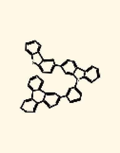 C1=c2c(c3ccc(-c4cccc(-n5c6ccccc6c6ccc(-c7ccc8sc9ccccc9c8c7)cc65)c4)cc3c3ccccc23)=CCC1